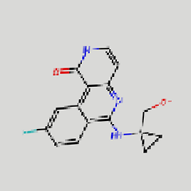 O=c1[nH]ccc2nc(NC3(CO)CC3)c3ccc(F)cc3c12